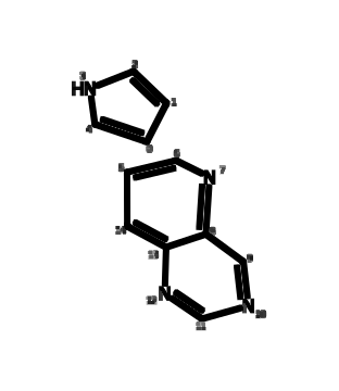 c1cc[nH]c1.c1cnc2cncnc2c1